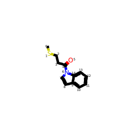 CSCCC(=O)n1ccc2ccccc21